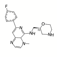 CN1C=CN=C2C=C(c3ccc(F)cc3)N=C(NC[C@@H]3CNCCO3)C21